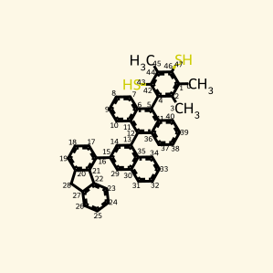 Cc1c(C)c(-c2c3ccccc3c(-c3cc(-c4cccc5c4-c4ccccc4C5)cc4ccccc34)c3ccccc23)c(S)c(C)c1S